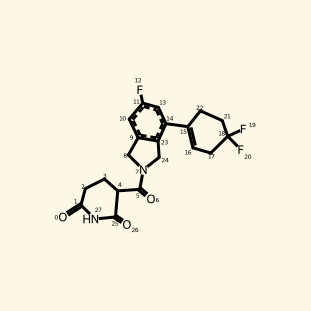 O=C1CCC(C(=O)N2Cc3cc(F)cc(C4=CCC(F)(F)CC4)c3C2)C(=O)N1